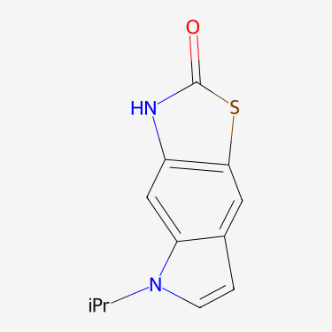 CC(C)n1ccc2cc3sc(=O)[nH]c3cc21